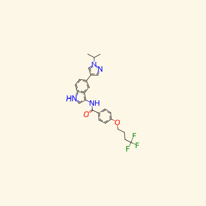 CC(C)n1cc(-c2ccc3[nH]cc(NC(=O)c4ccc(OCCCC(F)(F)F)cc4)c3c2)cn1